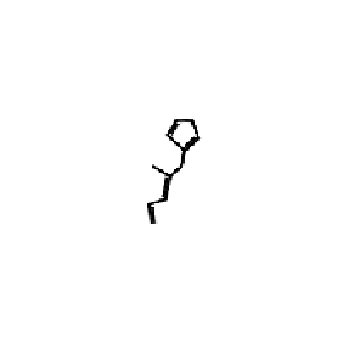 C=C/C=C(\C)CC1=CCC=C1